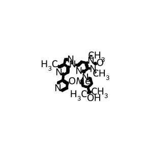 COc1ccncc1-c1cc2c(cnn2-c2cc3c(c(N4CCC(C(C)(C)O)CC4)n2)n(C)c(=O)n3C)c(C)n1